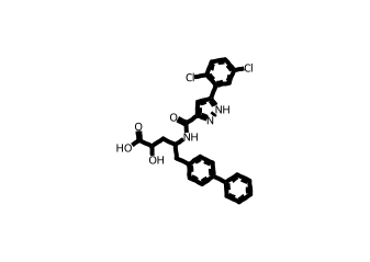 O=C(NC(Cc1ccc(-c2ccccc2)cc1)CC(O)C(=O)O)c1cc(-c2cc(Cl)ccc2Cl)[nH]n1